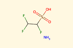 N.O=S(=O)(O)C(F)C(F)F